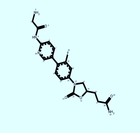 NCC(=O)Nc1ccc(-c2ccc(N3CC(CCC(N)=O)OC3=O)cc2F)cn1